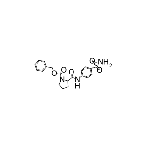 NS(=O)(=O)c1ccc(NC(=O)C2CCCN2C(=O)OCc2ccccc2)cc1